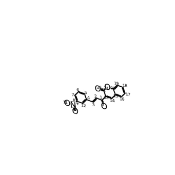 O=C(/C=C/c1cccc([N+](=O)[O-])c1)c1cc2ccccc2oc1=O